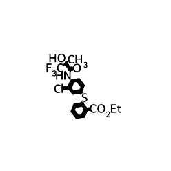 CCOC(=O)c1ccccc1Sc1ccc(NC(=O)[C@@](C)(O)C(F)(F)F)c(Cl)c1